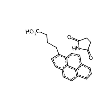 O=C(O)CCCc1ccc2ccc3cccc4ccc1c2c34.O=C1CCC(=O)N1